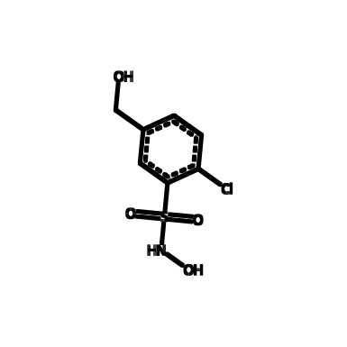 O=S(=O)(NO)c1cc(CO)ccc1Cl